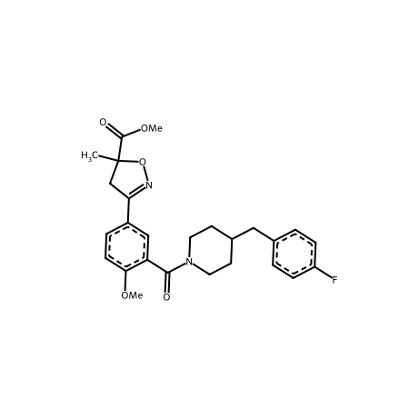 COC(=O)C1(C)CC(c2ccc(OC)c(C(=O)N3CCC(Cc4ccc(F)cc4)CC3)c2)=NO1